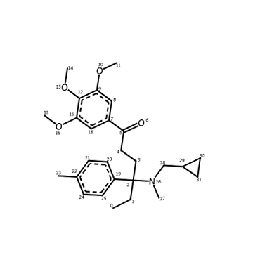 CCC(CCC(=O)c1cc(OC)c(OC)c(OC)c1)(c1ccc(C)cc1)N(C)CC1CC1